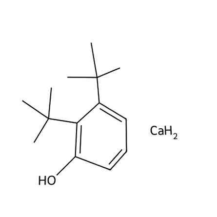 CC(C)(C)c1cccc(O)c1C(C)(C)C.[CaH2]